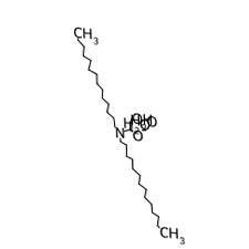 CCCCCCCCCCCCCCN(CCCCCCCCCCCCCC)C(=O)CO.O.O